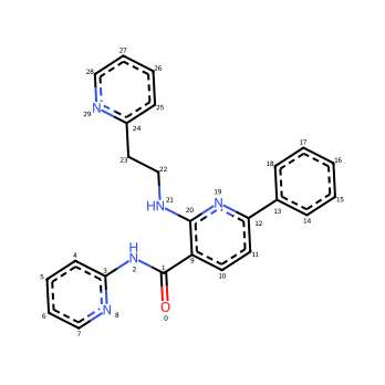 O=C(Nc1ccccn1)c1ccc(-c2ccccc2)nc1NCCc1ccccn1